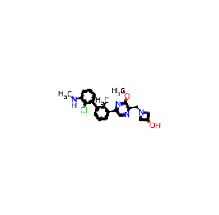 CNc1cccc(-c2cccc(-c3cnc(CN4CC(O)C4)c(OC)n3)c2C)c1Cl